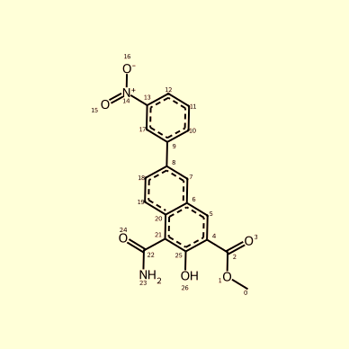 COC(=O)c1cc2cc(-c3cccc([N+](=O)[O-])c3)ccc2c(C(N)=O)c1O